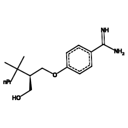 CCCC(C)(C)[C@H](CO)COc1ccc(C(=N)N)cc1